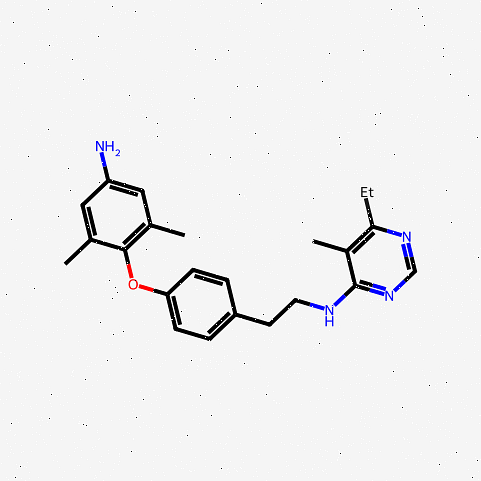 CCc1ncnc(NCCc2ccc(Oc3c(C)cc(N)cc3C)cc2)c1C